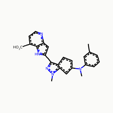 Cc1cccc(N(C)c2ccc3c(-c4cc5nccc(C(=O)O)c5[nH]4)nn(C)c3c2)c1